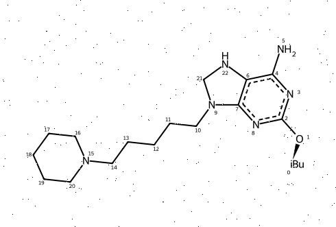 CC[C@H](C)Oc1nc(N)c2c(n1)N(CCCCCN1CCCCC1)CN2